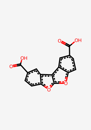 O=C(O)c1ccc2oc3oc4ccc(C(=O)O)cc4c3c2c1